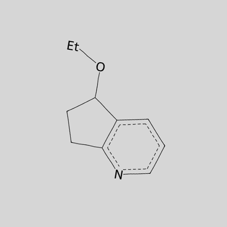 CCOC1CCc2ncccc21